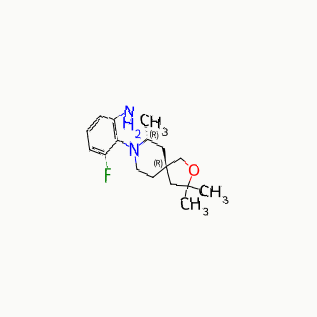 C[C@@H]1C[C@@]2(CCN1c1c(N)cccc1F)COC(C)(C)C2